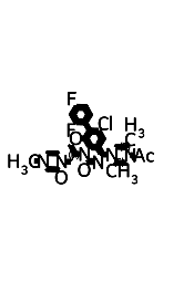 CC(=O)N1C[C@H](C)N(c2nc(=O)n3c4c(c(-c5ccc(F)cc5F)c(Cl)cc24)OC[C@H]3CN2CCN(C)CC2=O)C[C@H]1C